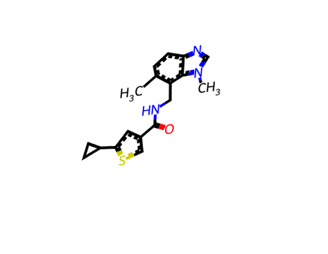 Cc1ccc2ncn(C)c2c1CNC(=O)c1csc(C2CC2)c1